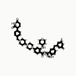 O=C1CCC(c2ccc(CN3CCC(N4CCN(c5ccc(C(=O)Nc6n[nH]c7ccc(Cc8cc(F)cc(F)c8)cc67)c(NC6CCOCC6)c5)CC4)CC3)cc2)C(=O)N1